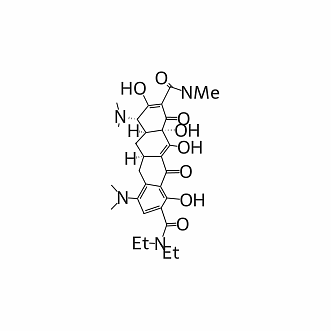 CCN(CC)C(=O)c1cc(N(C)C)c2c(c1O)C(=O)C1=C(O)[C@]3(O)C(=O)C(C(=O)NC)=C(O)[C@@H](N(C)C)[C@@H]3C[C@@H]1C2